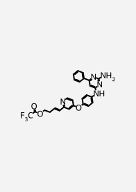 Nc1nc(Nc2ccc(Oc3ccnc(/C=C/CCOC(=O)C(F)(F)F)c3)cc2)cc(-c2ccccc2)n1